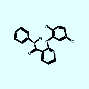 CCN(C(=O)c1cccnc1Oc1cc(Cl)ccc1Cl)c1ccccc1